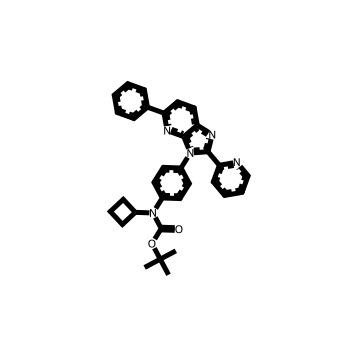 CC(C)(C)OC(=O)N(c1ccc(-n2c(-c3ccccn3)nc3ccc(-c4ccccc4)nc32)cc1)C1CCC1